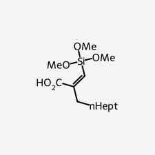 CCCCCCCCC(=C[Si](OC)(OC)OC)C(=O)O